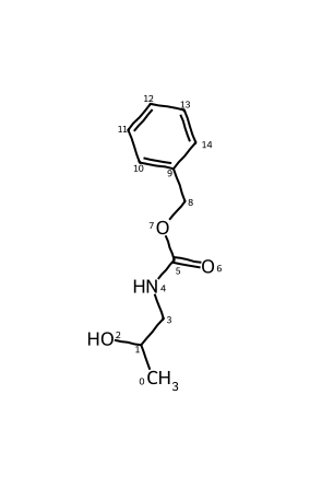 CC(O)CNC(=O)OCc1ccccc1